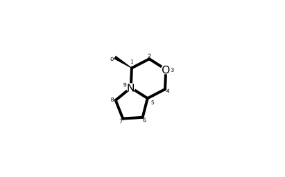 C[C@H]1COCC2CCCN21